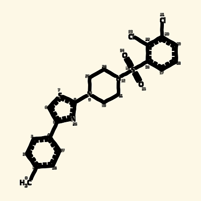 Cc1ccc(-c2csc(N3CCN(S(=O)(=O)c4cccc(Cl)c4Cl)CC3)n2)cc1